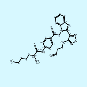 N=CCCNc1nonc1-c1nc2ccccc2n1CC(=O)c1ccc(NC(=O)[C@@H](N)CCCCN)cc1